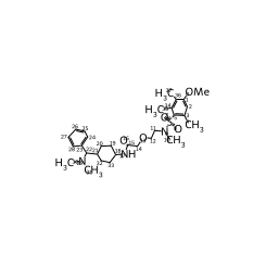 COc1cc(C)c(S(=O)(=O)N(C)CCOCC(=O)NC2CCC(C(c3ccccc3)N(C)C)CC2)c(C)c1C